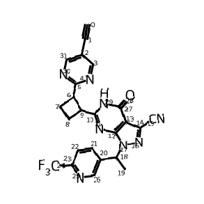 C#Cc1cnc(C2CCC2c2nc3c(c(C#N)nn3C(C)c3ccc(C(F)(F)F)nc3)c(=O)[nH]2)nc1